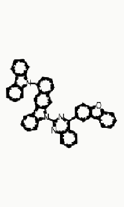 c1cc(-n2c3ccccc3c3ccccc32)c2cc3c4ccccc4n(-c4nc(-c5ccc6oc7ccccc7c6c5)c5ccccc5n4)c3cc2c1